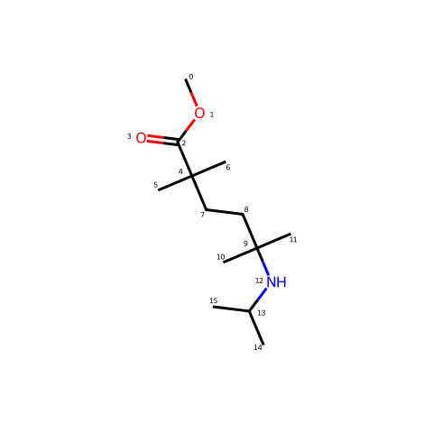 COC(=O)C(C)(C)CCC(C)(C)NC(C)C